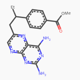 CCC(Cc1cnc2nc(N)nc(N)c2n1)c1ccc(C(=O)OC)cc1